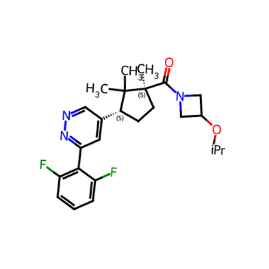 CC(C)OC1CN(C(=O)[C@@]2(C)CC[C@H](c3cnnc(-c4c(F)cccc4F)c3)C2(C)C)C1